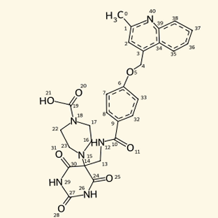 Cc1cc(COc2ccc(C(=O)NCC3(N4CCN(C(=O)O)CC4)C(=O)NC(=O)NC3=O)cc2)c2ccccc2n1